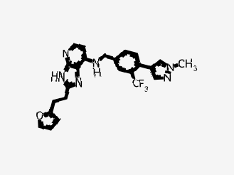 Cn1cc(-c2ccc(CNc3ccnc4[nH]c(CCc5ccco5)nc34)cc2C(F)(F)F)cn1